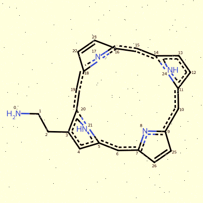 NCCc1cc2cc3nc(cc4ccc(cc5nc(cc1[nH]2)C=C5)[nH]4)C=C3